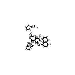 CN1CCC[C@H]1COc1nc(N2CC3CCC(C2)N3)c2cnc(-c3cccc4cccc(C#N)c34)c(F)c2n1